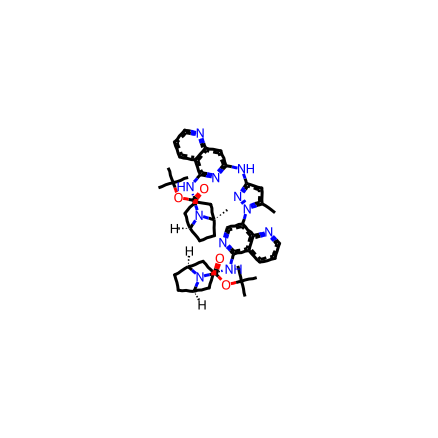 Cc1cc(Nc2cc3ncccc3c(N[C@H]3C[C@@H]4CC[C@](C)(C3)N4C(=O)OC(C)(C)C)n2)nn1-c1cnc(N[C@@H]2C[C@H]3CC[C@@H](C2)N3C(=O)OC(C)(C)C)c2cccnc12